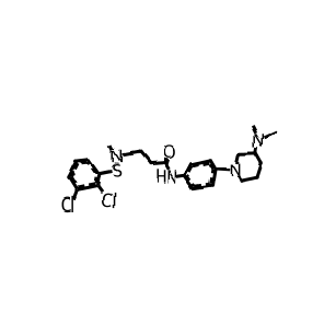 CN(CCC(=O)Nc1ccc(N2CCCC(N(C)C)C2)cc1)Sc1cccc(Cl)c1Cl